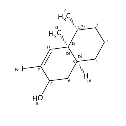 C[C@@H]1CCC[C@H]2CC(O)C(I)=C[C@]21C